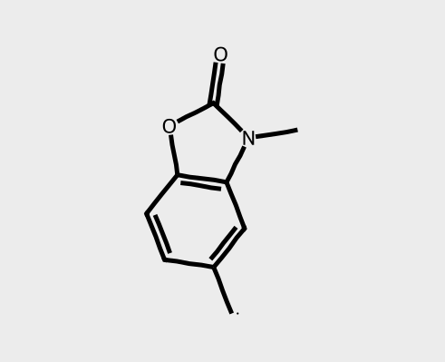 [CH2]c1ccc2oc(=O)n(C)c2c1